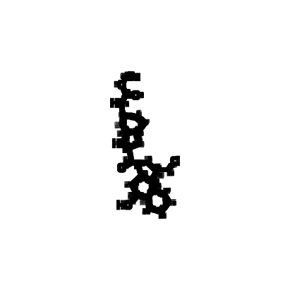 CC(C)(C)OC(=O)Nc1ccc2cc(C(=O)N3C[C@@H](CCl)c4c3cc(O)c3ccccc43)[nH]c2c1